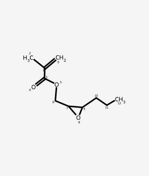 C=C(C)C(=O)OCC1OC1CCC